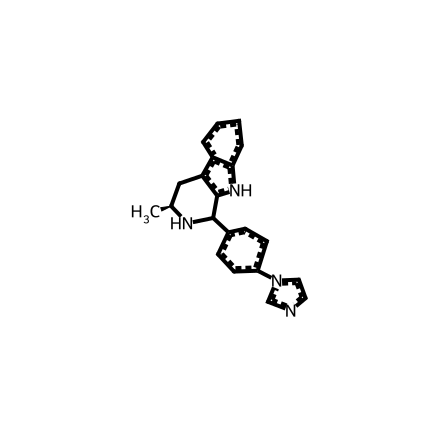 C[C@H]1Cc2c([nH]c3ccccc23)C(c2ccc(-n3ccnc3)cc2)N1